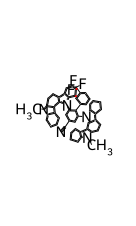 Cn1c2ccccc2c2c1ccc1c3ccccc3n(-c3cc(C#N)cc(-n4c5ccccc5c5ccc6c(c7ccccc7n6C)c54)c3-c3cccc(C(F)(F)F)c3)c12